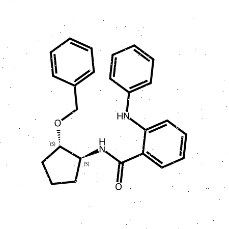 O=C(N[C@H]1CCC[C@@H]1OCc1ccccc1)c1ccccc1Nc1ccccc1